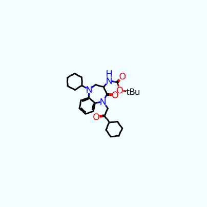 CC(C)(C)OC(=O)NC1CN(C2CCCCC2)c2ccccc2N(CC(=O)C2CCCCC2)C1=O